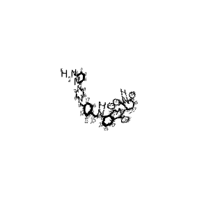 Nc1cccc(N2CCN(Cc3ccc(CNc4cccc5c4C(=O)N(C4CCC(=O)NC4=O)C5=O)cc3)CC2)n1